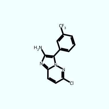 Nc1nc2ccc(Cl)nn2c1-c1cccc(C(F)(F)F)c1